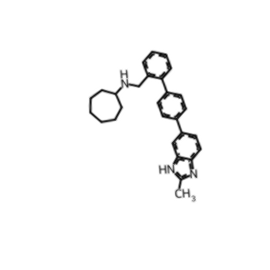 Cc1nc2ccc(-c3ccc(-c4ccccc4CNC4CCCCCC4)cc3)cc2[nH]1